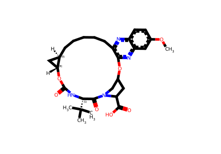 COc1ccc2nc3c(nc2c1)OC1CC(C(=O)O)N(C1)C(=O)[C@H](C(C)(C)C)NC(=O)O[C@@H]1C[C@H]1CCCCC3